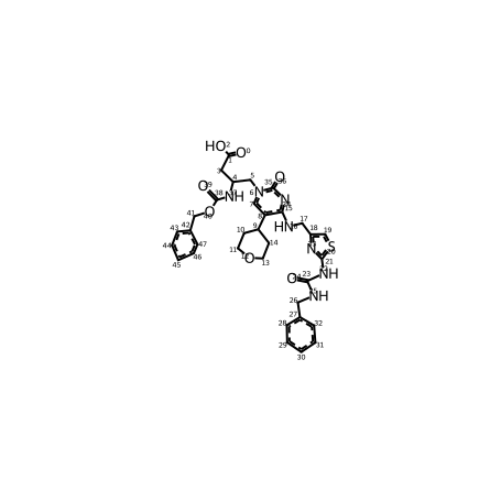 O=C(O)CC(Cn1cc(C2CCOCC2)c(NCc2csc(NC(=O)NCc3ccccc3)n2)nc1=O)NC(=O)OCc1ccccc1